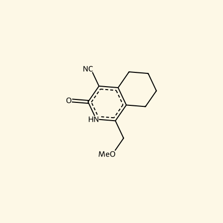 COCc1[nH]c(=O)c(C#N)c2c1CCCC2